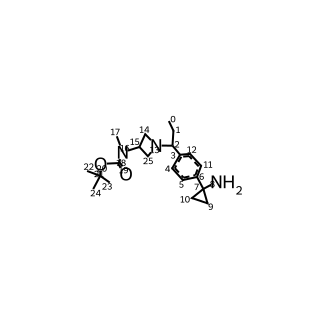 CCC(c1ccc(C2(N)CC2)cc1)N1CC(N(C)C(=O)OC(C)(C)C)C1